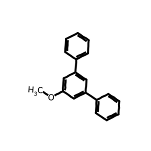 COc1cc(-c2ccccc2)cc(-c2ccccc2)c1